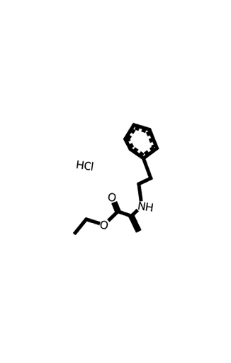 C=C(NCCc1ccccc1)C(=O)OCC.Cl